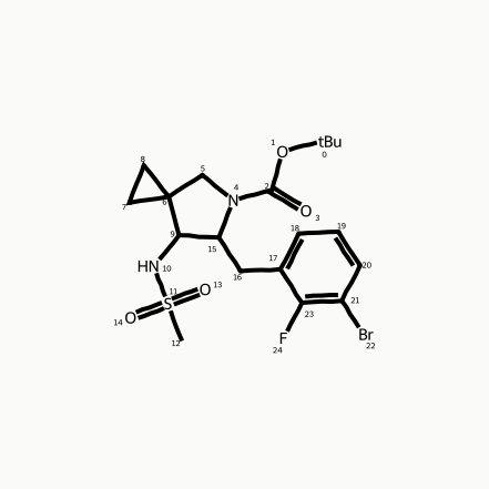 CC(C)(C)OC(=O)N1CC2(CC2)C(NS(C)(=O)=O)C1Cc1cccc(Br)c1F